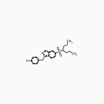 CCCN(CCC)S(=O)(=O)c1ccc2c(cnn2Cc2ccc(F)cc2)c1